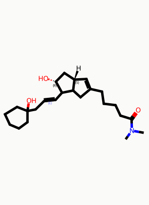 CN(C)C(=O)CCCCC1=C[C@H]2C[C@@H](O)C(/C=C/CC3(O)CCCCC3)C2C1